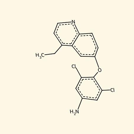 CCc1ccnc2ccc(Oc3c(Cl)cc(N)cc3Cl)cc12